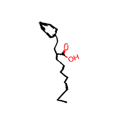 CCCCCCCCC(CCc1ccccc1)C(=O)O